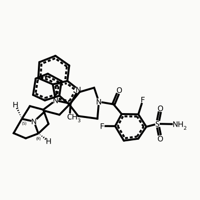 Cc1nc2ccccc2n1C1C[C@H]2CC[C@@H](C1)N2CCC1(c2ccccc2)CCN(C(=O)c2c(F)ccc(S(N)(=O)=O)c2F)CC1